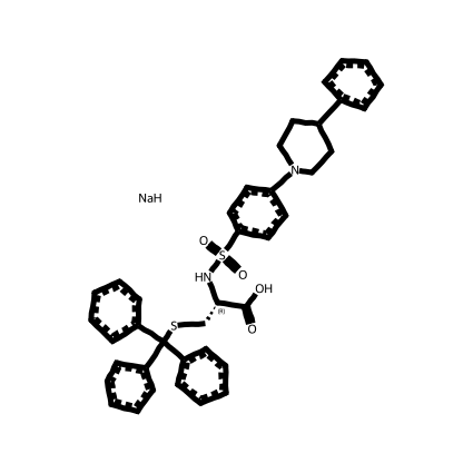 O=C(O)[C@H](CSC(c1ccccc1)(c1ccccc1)c1ccccc1)NS(=O)(=O)c1ccc(N2CCC(c3ccccc3)CC2)cc1.[NaH]